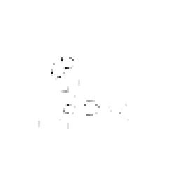 CCOC(=O)CCc1ccc(-n2nc(C(C)(C)C)cc2NC(=O)Nc2cccc3ccccc23)cc1